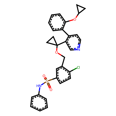 O=S(=O)(Nc1ccccc1)c1ccc(Cl)c(COC2(c3cnccc3-c3ccccc3OC3CC3)CC2)c1